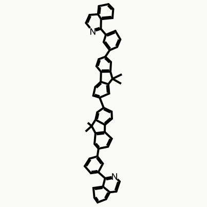 CC1(C)c2cc(-c3cccc(-c4nccc5ccccc45)c3)ccc2-c2ccc(-c3ccc4c(c3)C(C)(C)c3cc(-c5cccc(-c6nccc7ccccc67)c5)ccc3-4)cc21